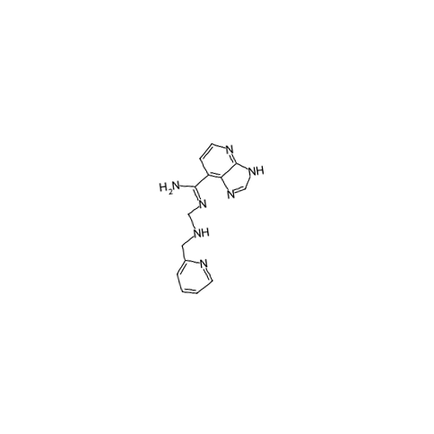 NC(=NCNCc1ccccn1)c1ccnc2[nH]cnc12